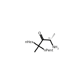 CCCCCCC(C)(CCCCC)C(=O)[C@H](C)N